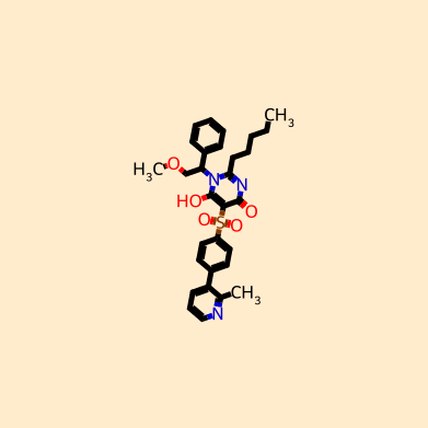 CCCCCc1nc(=O)c(S(=O)(=O)c2ccc(-c3cccnc3C)cc2)c(O)n1C(COC)c1ccccc1